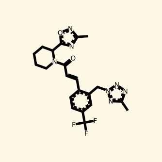 Cc1noc(C2CCCCN2C(=O)C=Cc2ccc(C(F)(F)F)cc2Cn2nnc(C)n2)n1